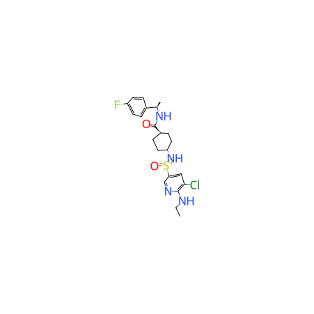 CCNc1ncc([S+]([O-])N[C@H]2CC[C@H](C(=O)N[C@H](C)c3ccc(F)cc3)CC2)cc1Cl